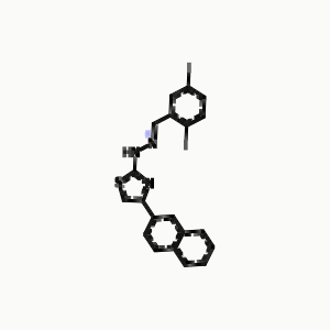 Ic1ccc(I)c(/C=N/Nc2nc(-c3ccc4ccccc4c3)cs2)c1